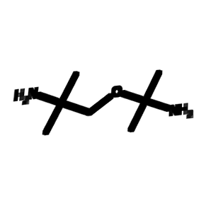 CC(C)(N)COC(C)(C)N